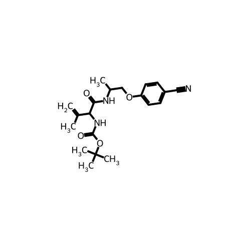 C=C(C)C(NC(=O)OC(C)(C)C)C(=O)NC(C)COc1ccc(C#N)cc1